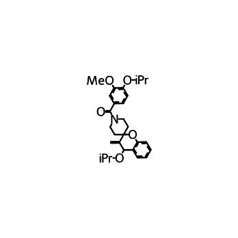 C=C1C(OC(C)C)c2ccccc2OC12CCN(C(=O)c1ccc(OC(C)C)c(OC)c1)CC2